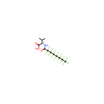 CC(C)[C@H](NC(=O)C(F)(F)C(F)(F)C(F)(F)C(F)(F)C(F)(F)C(F)(F)C(F)(F)F)C(=O)O